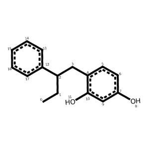 CCC(Cc1ccc(O)cc1O)c1ccccc1